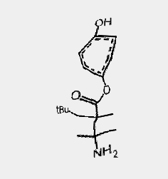 CC(C)(C)CC(C)(C(=O)Oc1ccc(O)cc1)C(C)(C)N